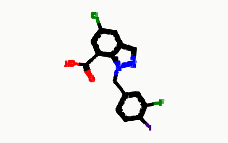 O=C(O)c1cc(Cl)cc2cnn(Cc3ccc(I)c(F)c3)c12